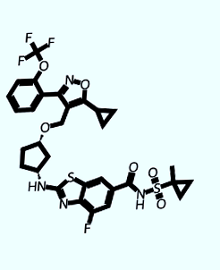 CC1(S(=O)(=O)NC(=O)c2cc(F)c3nc(N[C@@H]4CC[C@H](OCc5c(-c6ccccc6OC(F)(F)F)noc5C5CC5)C4)sc3c2)CC1